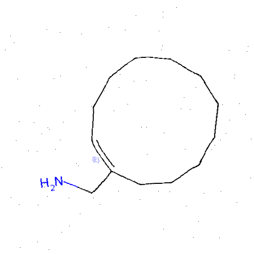 NC/C1=C/CCCCCCCCCC1